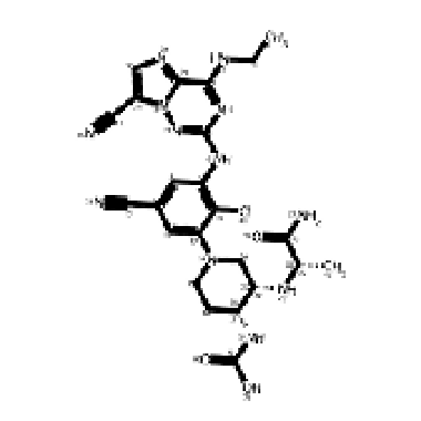 CCNc1nc(Nc2cc(C#N)cc(N3CC[C@@H](NC(=O)O)[C@@H](N[C@@H](C)C(N)=O)C3)c2Cl)nn2c(C#N)cnc12